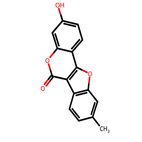 Cc1ccc2c(c1)oc1c3ccc(O)cc3oc(=O)c21